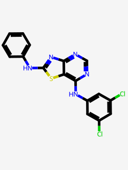 Clc1cc(Cl)cc(Nc2ncnc3nc(Nc4ccccc4)sc23)c1